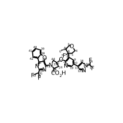 C[C@H]1COCC[C@]1(F)c1cc(-c2cnn(C(F)F)c2)cnc1O[C@H]1C[C@@H](C(=O)O)N(c2nc(C(F)F)nc3c2oc2ccccc23)C1